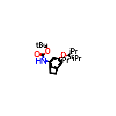 CC(C)[Si](Oc1cc2c(c(NC(=O)OC(C)(C)C)c1)CC2)(C(C)C)C(C)C